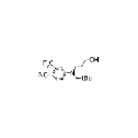 CC(C)(C)CN(CCCO)c1ccc(C#N)c(C(F)(F)F)c1